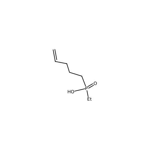 C=CCCCP(=O)(O)CC